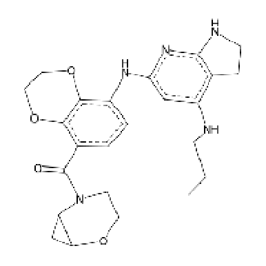 CCCNc1cc(Nc2ccc(C(=O)N3CCOC4CC43)c3c2OCCO3)nc2c1CCN2